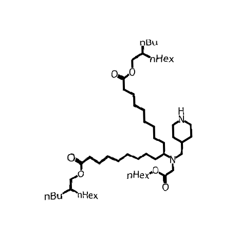 CCCCCCOC(=O)CN(CC1CCNCC1)C(CCCCCCCCC(=O)OCC(CCCC)CCCCCC)CCCCCCCCC(=O)OCC(CCCC)CCCCCC